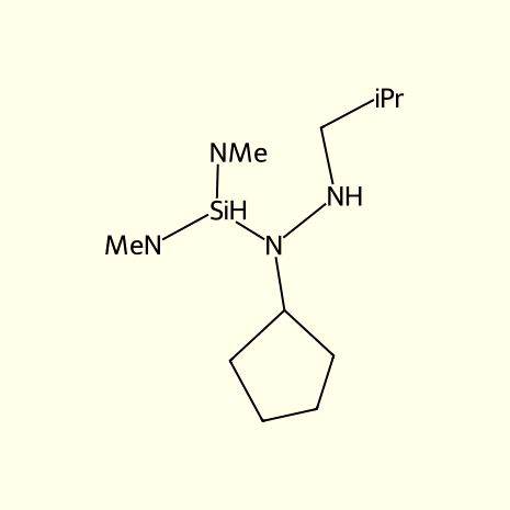 CN[SiH](NC)N(NCC(C)C)C1CCCC1